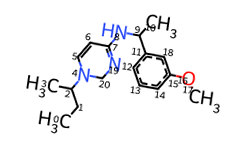 CCC(C)N1C=CC(NC(C)c2cccc(OC)c2)=NC1